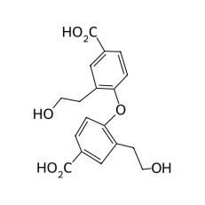 O=C(O)c1ccc(Oc2ccc(C(=O)O)cc2CCO)c(CCO)c1